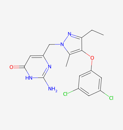 CCc1nn(Cc2cc(=O)[nH]c(N)n2)c(C)c1Oc1cc(Cl)cc(Cl)c1